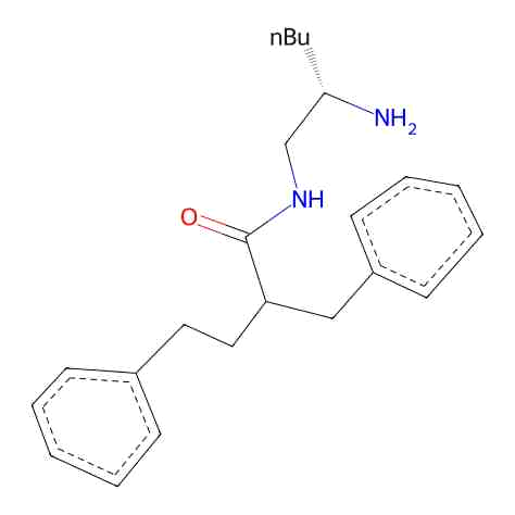 CCCC[C@H](N)CNC(=O)C(CCc1ccccc1)Cc1ccccc1